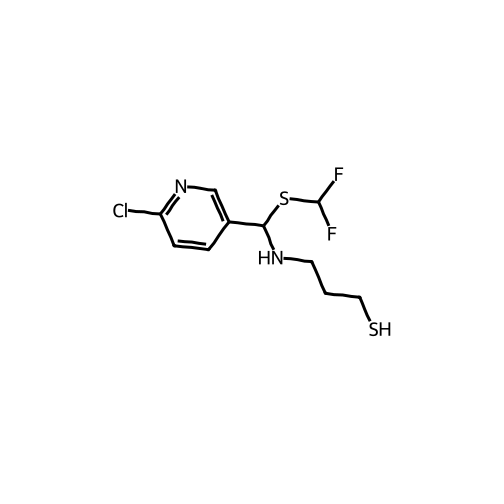 FC(F)SC(NCCCS)c1ccc(Cl)nc1